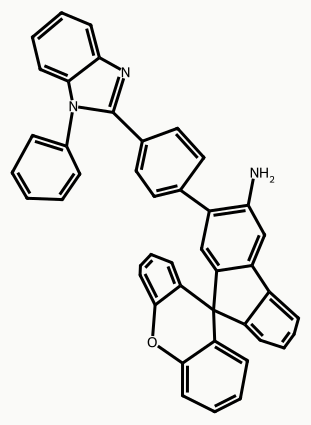 Nc1cc2c(cc1-c1ccc(-c3nc4ccccc4n3-c3ccccc3)cc1)C1(c3ccccc3Oc3ccccc31)c1ccccc1-2